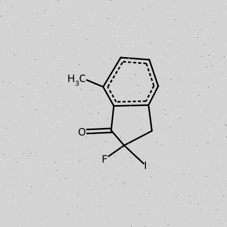 Cc1cccc2c1C(=O)C(F)(I)C2